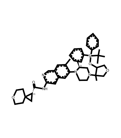 Cc1cc2cnc(NC(=O)[C@@H]3CC34CCOCC4)cc2cc1N1CCN(C2(C)COCC2O[Si](c2ccccc2)(c2ccccc2)C(C)(C)C)C[C@@H]1C